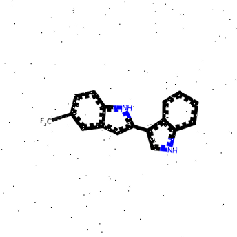 FC(F)(F)c1ccc2[nH]c(-c3c[nH]c4ccccc34)cc2c1